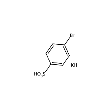 O=S(=O)(O)c1ccc(Br)cc1.[KH]